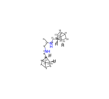 CC(CNC[C@@H]1CCC2C[C@@H]1C2(C)C)NC[C@@H]1CCC2C[C@@H]1C2(C)C